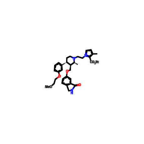 CCOC(=O)c1c(C)ccn1CCN1CC[C@@H](c2cccc(OCCOC)c2)[C@H](COc2ccc3c(c2)C(=O)NC3)[C@H]1C